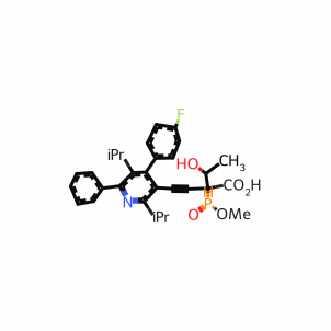 CO[PH](=O)C(C#Cc1c(C(C)C)nc(-c2ccccc2)c(C(C)C)c1-c1ccc(F)cc1)(C(=O)O)C(C)O